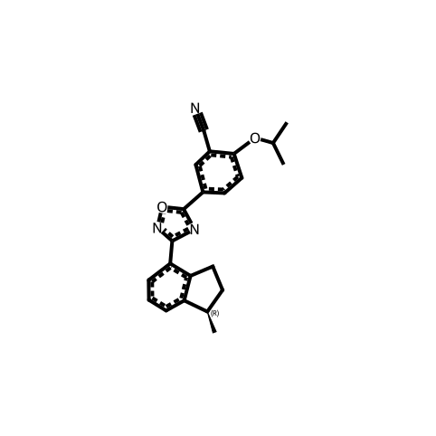 CC(C)Oc1ccc(-c2nc(-c3cccc4c3CC[C@H]4C)no2)cc1C#N